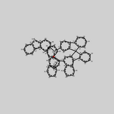 c1ccc(N(c2ccc3c(c2)C2(c4ccccc4-3)c3ccccc3-c3c2cc(N(c2ccccc2)c2ccccc2)c2ccccc32)c2ccc3sc4ccccc4c3c2)cc1